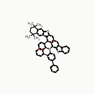 CC1(C)CCC(C)(C)c2cc3c(cc21)oc1cccc(-c2ccccc2N(c2ccc(-c4ccccc4)cc2-c2ccccc2)c2cccc4c2sc2ccccc24)c13